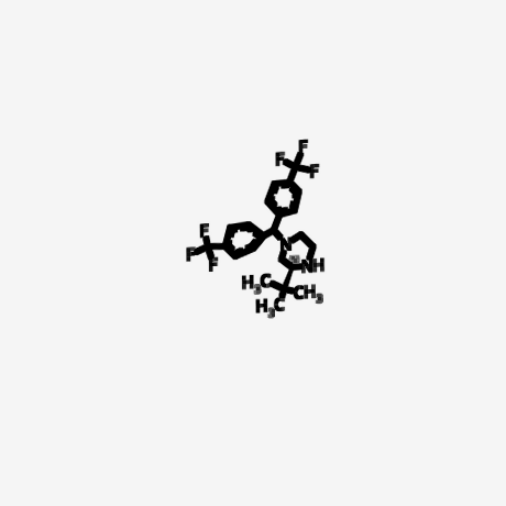 CC(C)(C)[C@H]1CN(C(c2ccc(C(F)(F)F)cc2)c2ccc(C(F)(F)F)cc2)CCN1